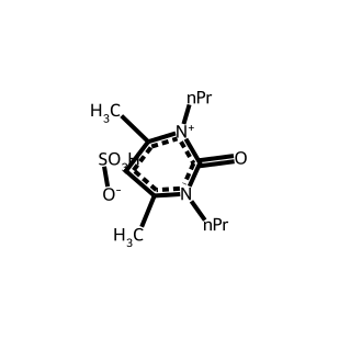 CCCn1c(C)cc(C)[n+](CCC)c1=O.O=S(=O)([O-])O